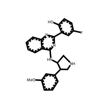 COc1cccc(C2CNCC2Nc2nc(-c3cc(F)ccc3O)nc3ccccc23)c1